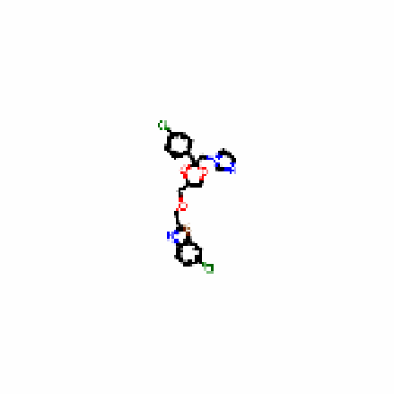 Clc1ccc(C2(Cn3ccnc3)OCC(COCc3nc4ccc(Cl)cc4s3)O2)cc1